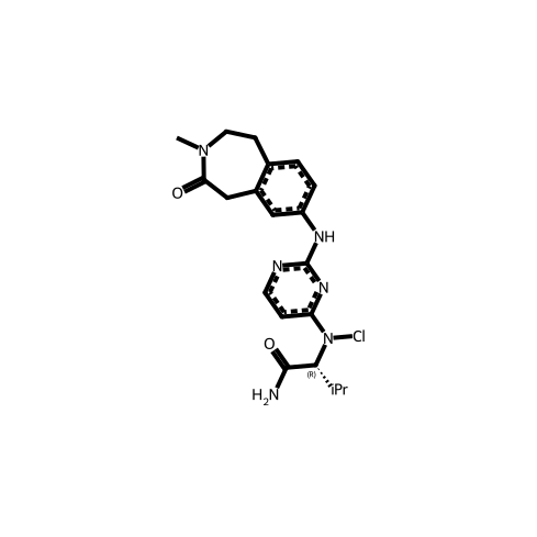 CC(C)[C@H](C(N)=O)N(Cl)c1ccnc(Nc2ccc3c(c2)CC(=O)N(C)CC3)n1